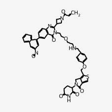 C=CC(=O)N1CC(c2nc3ccc(-c4cc(N=O)cc5ccccc45)cc3c(=O)n2CCOCCNCc2ccc(OCc3scc4c3CN(C3CCC(=O)NC3=O)C4=O)cc2)C1